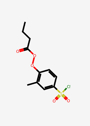 CCCC(=O)OOc1ccc(S(=O)(=O)Cl)cc1C